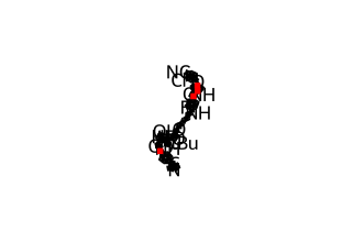 Cc1ncsc1-c1ccc(CNC(=O)[C@@H]2C[C@@H](O)CN2C(=O)C(NC(=O)COCCCCCNc2ccc(C(=O)N[C@H]3C(C)(C)[C@H](Oc4ccc(C#N)c(Cl)c4)C3(C)C)cc2F)C(C)(C)C)cc1